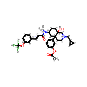 CC(=O)Oc1cccc(C23CCN(CC4CC4)CC2(O)CCC(N(C)C(=O)/C=C/c2cccc(OC(F)(F)F)c2)C3)c1